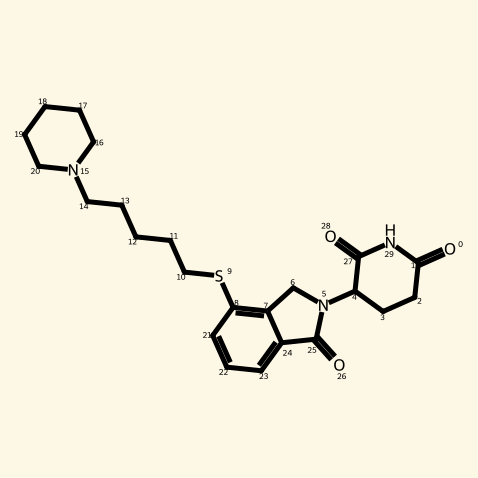 O=C1CCC(N2Cc3c(SCCCCCN4CCCCC4)cccc3C2=O)C(=O)N1